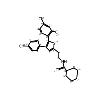 O=C(NCCc1cc(-c2ccc(Cl)cc2)c(-c2ccc(Cl)cc2Cl)s1)C1CCCCC1